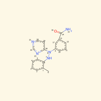 Cc1ccccc1NN(c1cccc(C(N)=O)c1)c1ccncn1